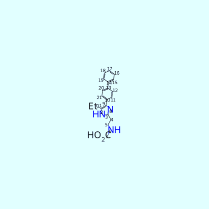 CCc1[nH]c(CCNC(=O)O)nc1-c1ccc(-c2ccccc2)cc1